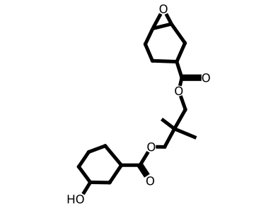 CC(C)(COC(=O)C1CCCC(O)C1)COC(=O)C1CCC2OC2C1